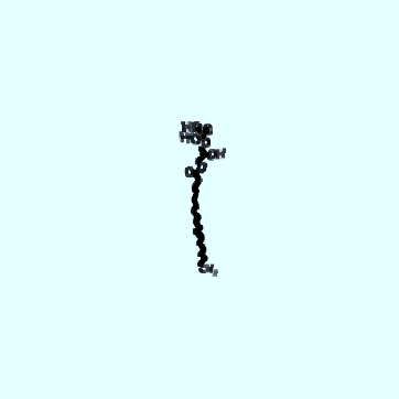 CCCCCCC=CCCCCCCCCCC(=O)OCC(O)COP(=O)(O)O